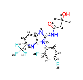 CC(C)(O)CC(=O)Nc1nc2ccc(C(F)(F)F)nc2n1-c1ccc(F)cc1F